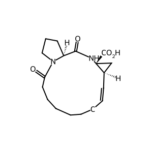 O=C1N[C@]2(C(=O)O)C[C@H]2/C=C\CCCCCCC(=O)N2CCC[C@@H]12